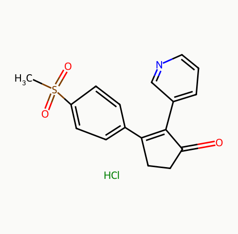 CS(=O)(=O)c1ccc(C2=C(c3cccnc3)C(=O)CC2)cc1.Cl